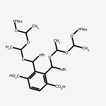 CCCCCCOC(C)OC(C)OC(CCC)c1c(C(=O)O)ccc(C(=O)O)c1C(CCC)OC(C)OC(C)OCCCCCC